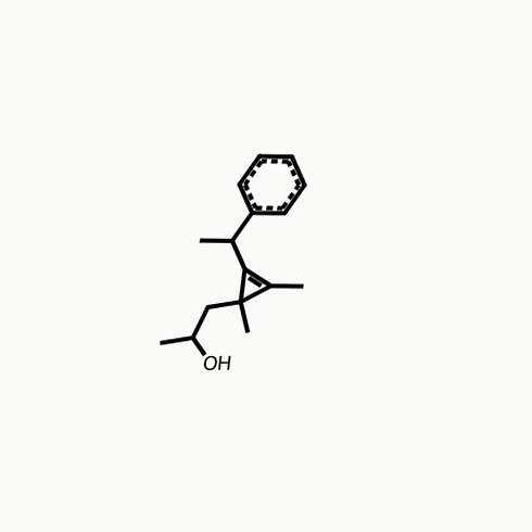 CC1=C(C(C)c2ccccc2)C1(C)CC(C)O